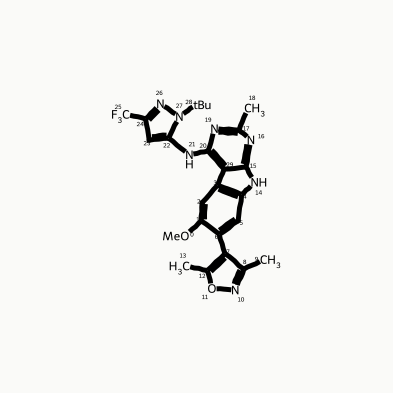 COc1cc2c(cc1-c1c(C)noc1C)[nH]c1nc(C)nc(Nc3cc(C(F)(F)F)nn3C(C)(C)C)c12